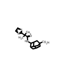 CC(C)(C(=O)NC1C2CC3CC1CC(C(=O)O)(C3)C2)c1nccs1